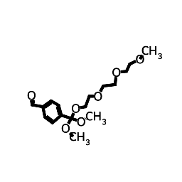 COCCOCCOCCOC(OC)(OC)c1ccc(C=O)cc1